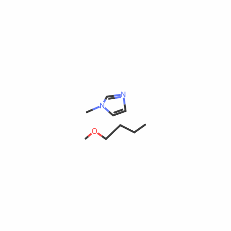 CCCCOC.Cn1ccnc1